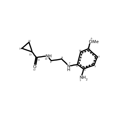 COc1ccc(N)c(NCCNC(=O)C2CC2)c1